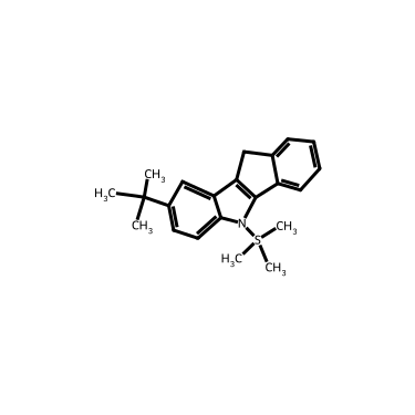 CC(C)(C)c1ccc2c(c1)c1c(n2S(C)(C)C)-c2ccccc2C1